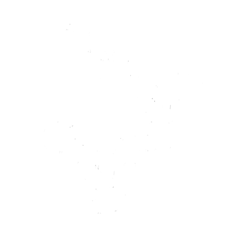 C[N+](CCc1ccccc1)(Cc1ccccc1)Cc1ccccc1.C[N+](CCc1ccccc1)(Cc1ccccc1)Cc1ccccc1.O=C([O-])/C=C/C(=O)[O-]